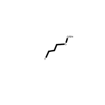 COSCCCF